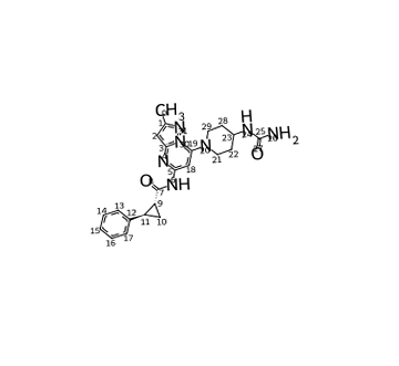 Cc1cc2nc(NC(=O)[C@@H]3C[C@H]3c3ccccc3)cc(N3CCC(NC(N)=O)CC3)n2n1